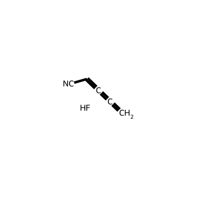 C=C=C=CC#N.F